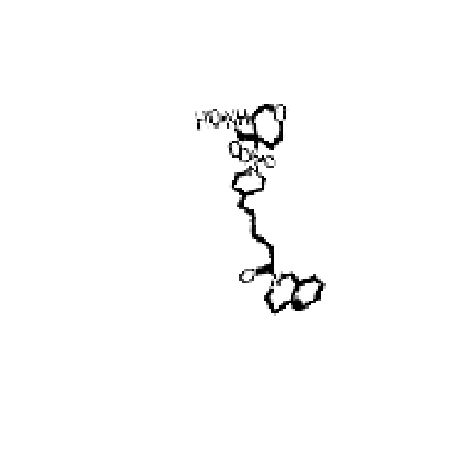 O=C(CCCCC1CCN(S(=O)(=O)C2(C(=O)NO)CCOCC2)CC1)N1CCc2ccccc2C1